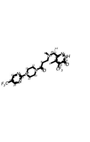 Cc1c([C@@H](C)N(C)CCC(=O)N2CCN(c3ncc(C(F)(F)F)cn3)CC2)n[nH]c(=O)c1C(F)(F)F